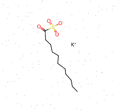 CCCCCCCCCCC(=O)S(=O)(=O)[O-].[K+]